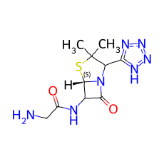 CC1(C)S[C@H]2C(NC(=O)CN)C(=O)N2C1c1nnn[nH]1